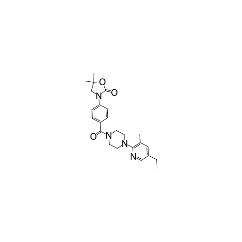 CCc1cnc(N2CCN(C(=O)c3ccc(N4CC(C)(C)OC4=O)cc3)CC2)c(C)c1